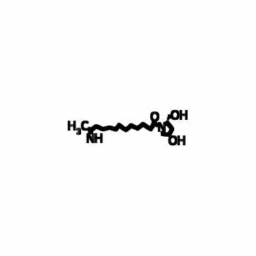 CC(=N)CCCCCCCCCCC(=O)N1C[C@H](O)C[C@H]1CO